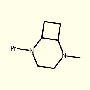 CC(C)N1CCN(C)C2CCC21